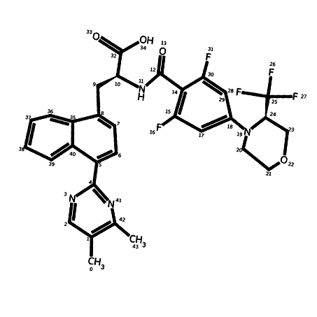 Cc1cnc(-c2ccc(C[C@H](NC(=O)c3c(F)cc(N4CCOC[C@@H]4C(F)(F)F)cc3F)C(=O)O)c3ccccc23)nc1C